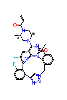 C=CC(=O)N1C[C@H](C)N(c2nc(=O)n3c4nc(c(F)cc24)-c2c(F)cccc2-c2cn(nn2)Cc2cccc(C(C)C)c2-3)C[C@H]1C